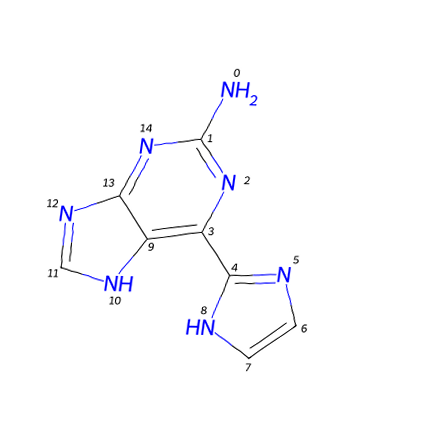 Nc1nc(-c2ncc[nH]2)c2[nH]cnc2n1